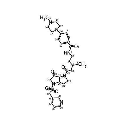 CC(CCNC(=O)c1ccc(N2CCN(C)CC2)cc1)CC(=O)N1CCC2C1C(=O)CN2S(=O)(=O)Cc1cccnc1